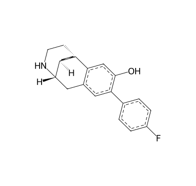 Oc1cc2c(cc1-c1ccc(F)cc1)C[C@@H]1NCC[C@]23CCCC[C@H]13